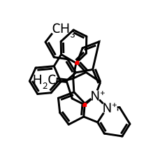 C=C1CC[N+]23c4c(cccc4C4(c5ccccc5-c5ccccc54)c4cccc(c42)-c2cccc[n+]23)/C1=C/C=C\C